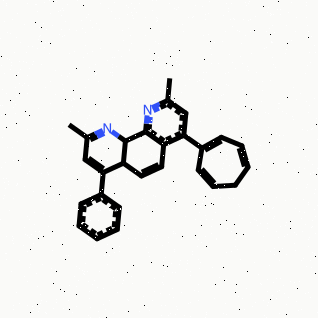 CC1=NC2c3nc(C)cc(C4=CC=CCC=C4)c3C=CC2C(c2ccccc2)=C1